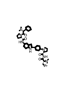 CC(C)C[C@H](C(=O)NC(=O)[C@@H]1CCCN1c1ccc(-c2cc3cc(NC(=O)[C@@H]4CCCN4C(=O)[C@@H](c4ccccc4)N(C)C)ccc3[nH]2)cc1)N(C)C